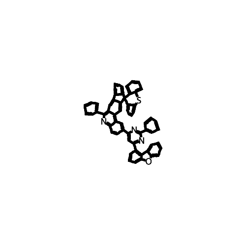 c1ccc(-c2nc(-c3ccc4nc(-c5ccccc5)c5cc6c(cc5c4c3)C3(c4ccccc4Sc4ccccc43)c3ccccc3-6)cc(-c3cccc4oc5ccccc5c34)n2)cc1